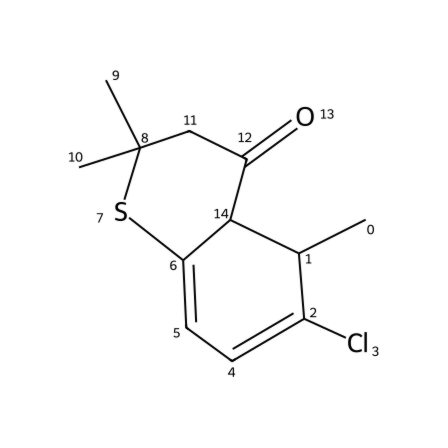 CC1C(Cl)=CC=C2SC(C)(C)CC(=O)C21